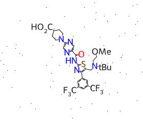 COCCN(Cc1sc(NC(=O)c2cnc(N3CCC(C(=O)O)CC3)cn2)nc1-c1cc(C(F)(F)F)cc(C(F)(F)F)c1)C(C)(C)C